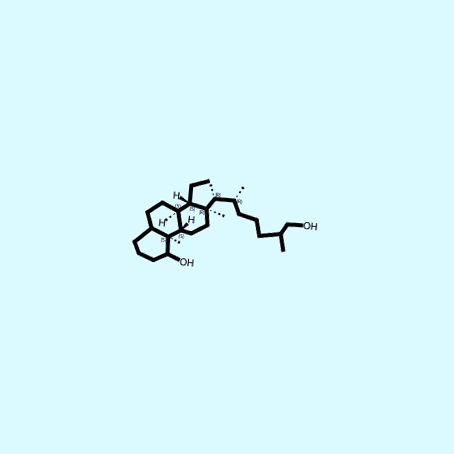 CC(CO)CCC[C@@H](C)[C@H]1CC[C@H]2[C@@H]3CCC4CCCC(O)[C@]4(C)[C@H]3CC[C@]12C